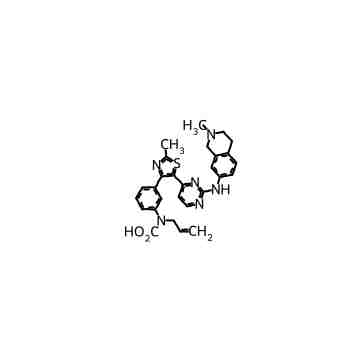 C=CCN(C(=O)O)c1cccc(-c2nc(C)sc2-c2ccnc(Nc3ccc4c(c3)CN(C)CC4)n2)c1